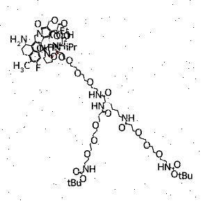 CC[C@@]1(OC(=O)[C@@H](NC(=O)[C@@H]2CCCN2C(=O)[C@H](CC(=O)O)NC(=O)CCOCCOCCOCCNC(=O)[C@H](CCCCNC(=O)CCOCCOCCOCCNC(=O)OC(C)(C)C)NC(=O)CCOCCOCCOCCNC(=O)OC(C)(C)C)C(C)C)C(=O)OCc2c1cc1n(c2=O)Cc2c-1nc1cc(F)c(C)c3c1c2[C@@H](N)CC3